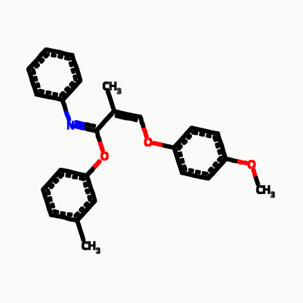 COc1ccc(OC=C(C)/C(=N\c2ccccc2)Oc2cccc(C)c2)cc1